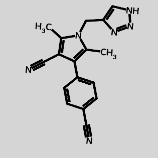 Cc1c(C#N)c(-c2ccc(C#N)cc2)c(C)n1Cc1c[nH]nn1